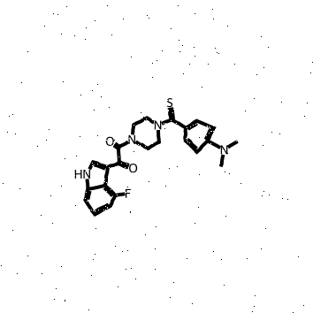 CN(C)c1ccc(C(=S)N2CCN(C(=O)C(=O)c3c[nH]c4cccc(F)c34)CC2)cc1